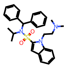 CC(C)N(C(c1ccccc1)c1ccccc1)S(=O)(=O)c1cc2ccccc2n1CCN(C)C